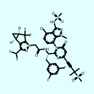 Cn1nc(NS(C)(=O)=O)c2c(Cl)ccc(-n3c([C@H](Cc4cc(F)cc(F)c4)NC(=O)Cn4nc(C(F)F)c5c4C(F)(F)[C@@H]4C[C@H]54)nc(C#CC(C)(C)S(C)(=O)=O)cc3=O)c21